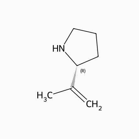 C=C(C)[C@H]1CCCN1